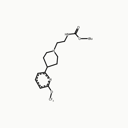 CC(C)(C)OC(=O)NCCN1CCC(c2cccc(OC(F)(F)F)n2)CC1